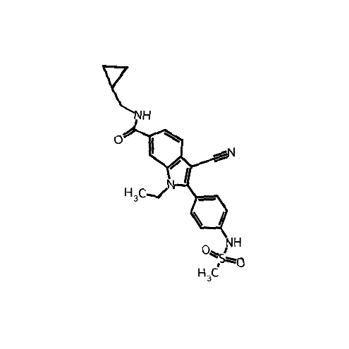 CCn1c(-c2ccc(NS(C)(=O)=O)cc2)c(C#N)c2ccc(C(=O)NCC3CC3)cc21